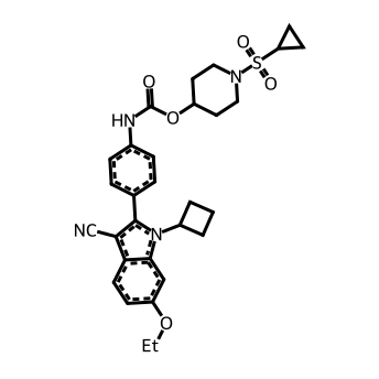 CCOc1ccc2c(C#N)c(-c3ccc(NC(=O)OC4CCN(S(=O)(=O)C5CC5)CC4)cc3)n(C3CCC3)c2c1